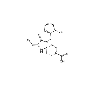 CC(C)CC1NC2(CCN(C(O)=S)CC2)N(Cc2ccccc2C#N)C1=O